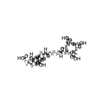 C[C@H](CCC(=O)O)[C@H]1CC[C@H]2[C@@H]3[C@H](O)C[C@@H]4C[C@@H](NC(=O)CCCCCNC(=O)CN5CCN(CC(=O)O)CCN(CC(=O)O)CCN(CC(=O)O)CC5)CC[C@]4(C)[C@H]3C[C@H](O)[C@]12C